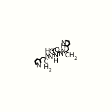 C=C(Cc1cccnc1)N/N=C1/N/C(=N/NC(=C)Cc2cccnc2)OCO1